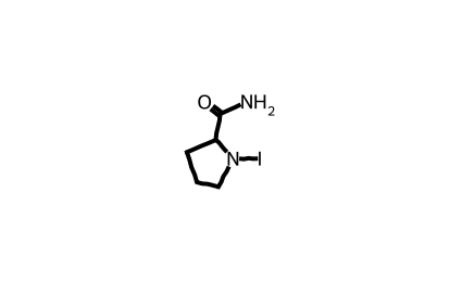 NC(=O)C1CCCN1I